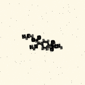 CCOC(=O)C(N)c1ccc(S(C)(=O)=O)cc1